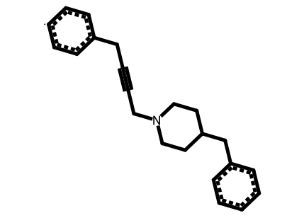 C(#CCN1CCC(Cc2ccccc2)CC1)Cc1cc[c]cc1